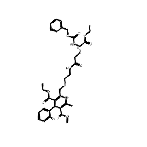 CCOC(=O)C1=C(COCCNC(=O)CC[C@H](NC(=O)OCc2ccccc2)C(=O)OCC)NC(C)=C(C(=O)OC)C1c1ccccc1Cl